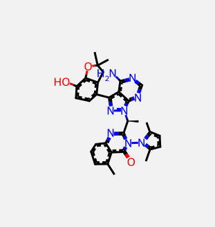 Cc1cccc2nc([C@H](C)n3nc(-c4ccc(O)c5c4CC(C)(C)O5)c4c(N)ncnc43)n(-n3c(C)ccc3C)c(=O)c12